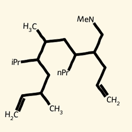 C=CCC(CNC)C(CCC)CC(C)C(CC(C)C=C)C(C)C